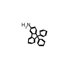 Nc1ccc2c(c1)-c1ccccc1C2(c1ccccc1)c1ccccc1